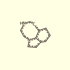 c1cc2cc[nH]ccn3ccc(c1)c23